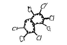 Clc1cc2c(Cl)c(Cl)c(Cl)c(Cl)c2c(Cl)c1Cl